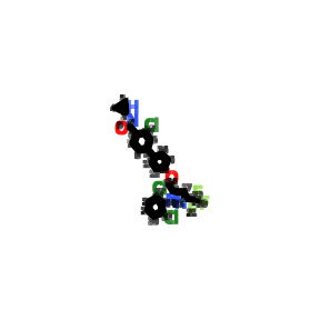 O=C(NC1CC1)c1ccc(-c2ccc(OCc3cc(C(F)(F)F)nn3-c3c(Cl)cccc3Cl)cc2)cc1Cl